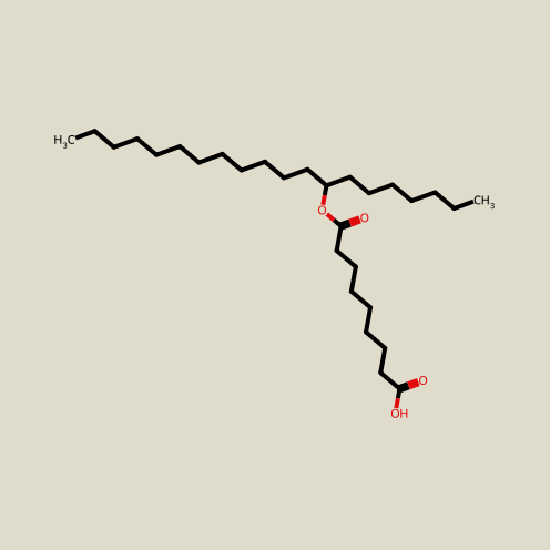 CCCCCCCCCCCCC(CCCCCCC)OC(=O)CCCCCCCC(=O)O